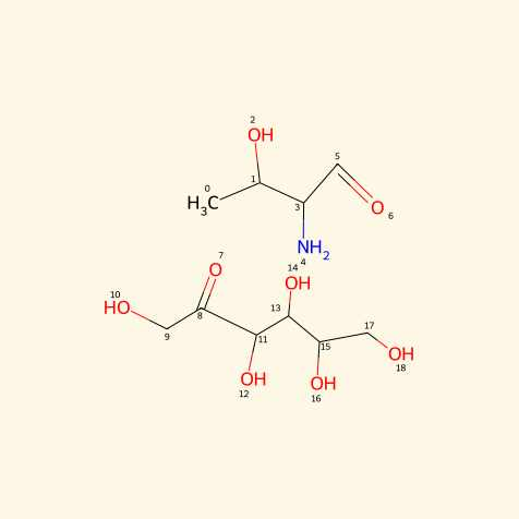 CC(O)C(N)C=O.O=C(CO)C(O)C(O)C(O)CO